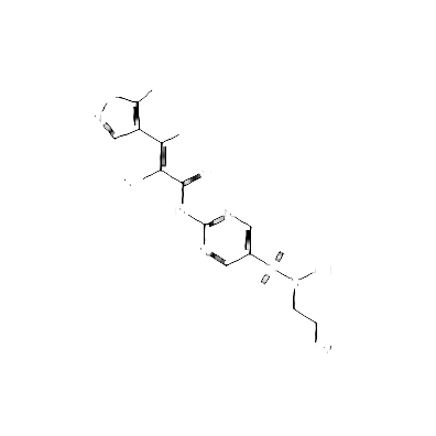 COCCN(C)S(=O)(=O)c1cnc(NC(=O)/C(C#N)=C(\O)c2cnoc2C)nc1